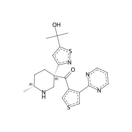 C[C@@H]1CC[C@](C(=O)c2cscc2-c2ncccn2)(c2cc(C(C)(C)O)sn2)CN1